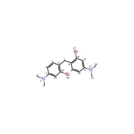 CN(C)c1ccc(Cc2ccc(N(C)C)cc2Br)c(Br)c1